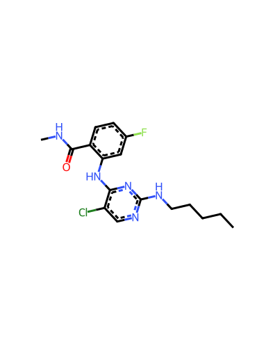 CCCCCNc1ncc(Cl)c(Nc2cc(F)ccc2C(=O)NC)n1